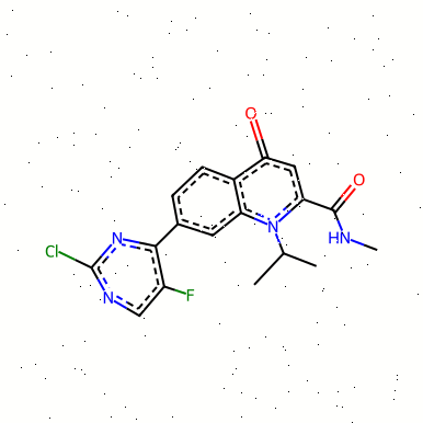 CNC(=O)c1cc(=O)c2ccc(-c3nc(Cl)ncc3F)cc2n1C(C)C